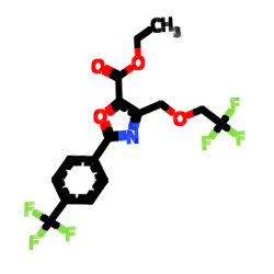 CCOC(=O)c1oc(-c2ccc(C(F)(F)F)cc2)nc1COCC(F)(F)F